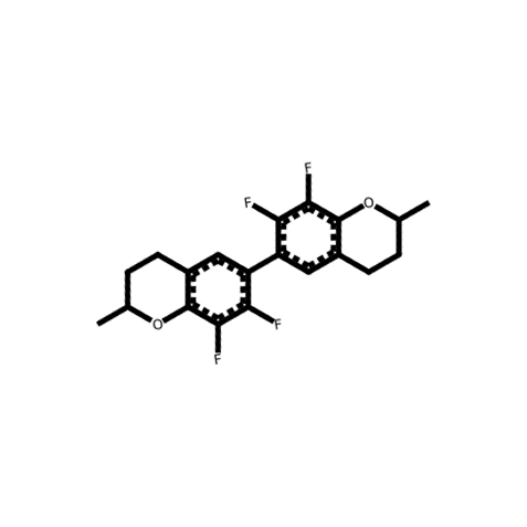 CC1CCc2cc(-c3cc4c(c(F)c3F)OC(C)CC4)c(F)c(F)c2O1